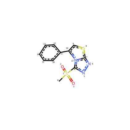 CS(=O)(=O)c1nnc2scc(-c3ccccc3)n12